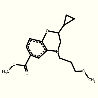 COCCCN1CC(C2CC2)Oc2ccc(C(=O)OC)cc21